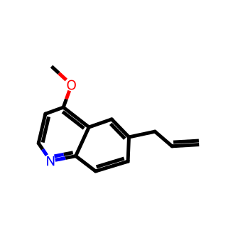 C=CCc1ccc2nccc(OC)c2c1